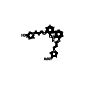 CC(=O)NC1CCN(CCCOc2cccc(-c3cccc(OCCCN4CCC(O)C4)c3C)c2C)C1